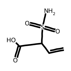 C=CC(C(=O)O)S(N)(=O)=O